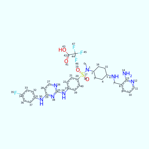 CN(C1CCC(NCc2cccnc2N)CC1)S(=O)(=O)c1ccc(Nc2nccc(Nc3ccc(F)cc3)n2)cc1.O=C(O)C(F)(F)F